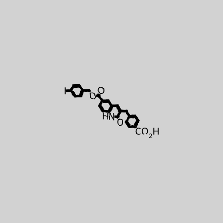 O=C(O)c1ccc(Cc2cc3cc(C(=O)OCc4ccc(I)cc4)ccc3[nH]c2=O)cc1